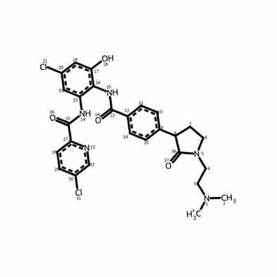 CN(C)CCN1CCC(c2ccc(C(=O)Nc3c(O)cc(Cl)cc3NC(=O)c3ccc(Cl)cn3)cc2)C1=O